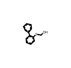 OCSc1ccccc1-c1ccccc1